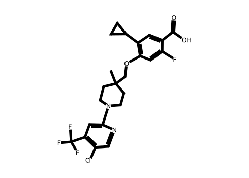 CC1(COc2cc(F)c(C(=O)O)cc2C2CC2)CCN(c2cc(C(F)(F)F)c(Cl)cn2)CC1